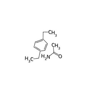 CC(N)=O.CCc1ccc(CC)cc1